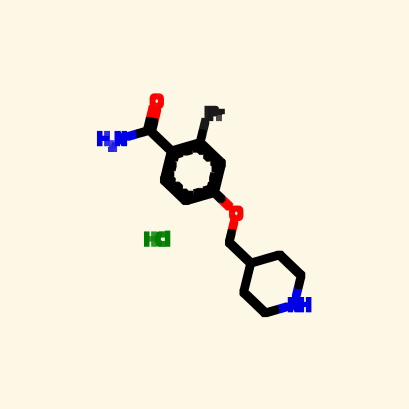 CC(C)c1cc(OCC2CCNCC2)ccc1C(N)=O.Cl